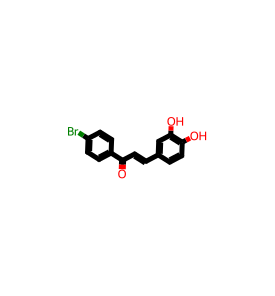 O=C(/C=C/c1ccc(O)c(O)c1)c1ccc(Br)cc1